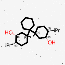 CC(C)[C@@H]1CC[C@@](C)(C2([C@]3(C)CC[C@@H](C(C)C)[C@H](O)C3)CCCCC2)C[C@H]1O